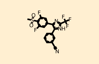 CS(=O)(=O)c1c(F)cc(-c2nc(C(F)(F)F)[nH]c2-c2cccc(C#N)c2)cc1F